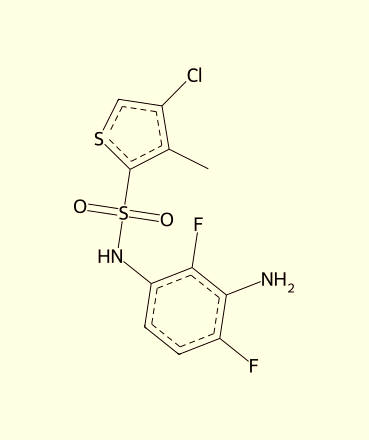 Cc1c(Cl)csc1S(=O)(=O)Nc1ccc(F)c(N)c1F